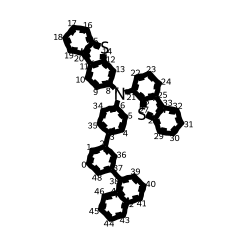 c1cc(-c2ccc(N(c3ccc4c(c3)sc3ccccc34)c3cccc4c3sc3ccccc34)cc2)cc(-c2cccc3ccccc23)c1